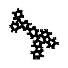 c1ccc(-n2c3ccccc3c3cc(-c4ccc(N(c5ccc6c(c5)sc5ccccc56)c5cccc6c5Cc5ccccc5-6)cc4)ccc32)cc1